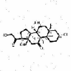 C[C@]12CC[C@@H](O)C[C@H]1CC[C@@H]1[C@@H]2C(=O)C[C@@]2(C)[C@H]1CC[C@]2(O)C(=O)CO.[AlH3]